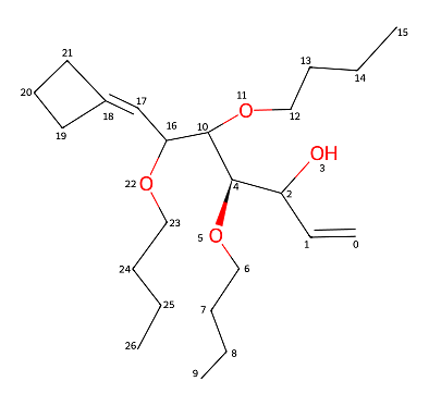 C=CC(O)[C@@H](OCCCC)C(OCCCC)C(C=C1CCC1)OCCCC